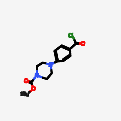 CC(C)(C)OC(=O)N1CCN(c2ccc(C(=O)Cl)cc2)CC1